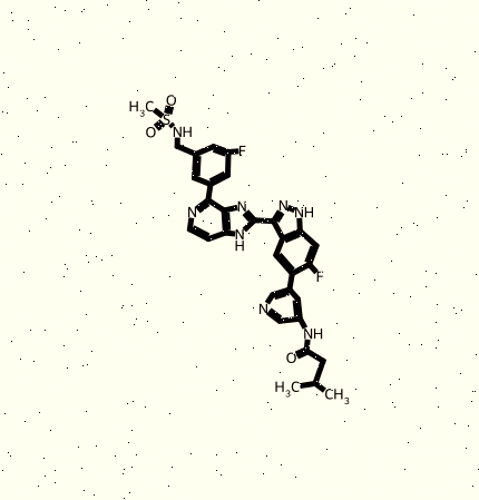 CC(C)CC(=O)Nc1cncc(-c2cc3c(-c4nc5c(-c6cc(F)cc(CNS(C)(=O)=O)c6)nccc5[nH]4)n[nH]c3cc2F)c1